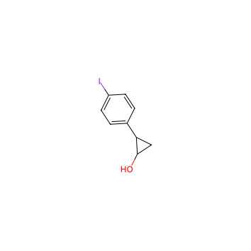 OC1CC1c1ccc(I)cc1